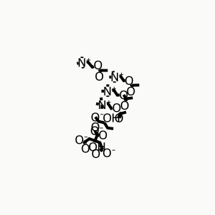 CC(=O)OCC[N+](C)(C)C.CC(=O)OCC[N+](C)(C)C.CC(=O)OCC[N+](C)(C)C.CC(=O)OCC[N+](C)(C)C.CCC(O)C(=O)[O-].O=C([O-])CC(O)(CC(=O)[O-])C(=O)[O-]